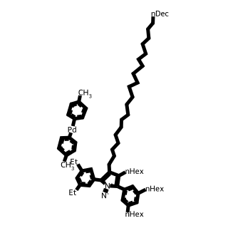 CCCCCCCCCCCCCCCCCCCCCCCCCCCCCCC1=C(c2cc(CC)cc(CC)c2)[N+](=[N-])C(c2cc(CCCCCC)cc(CCCCCC)c2)=C1CCCCCC.Cc1cc[c]([Pd][c]2ccc(C)cc2)cc1